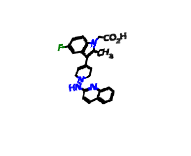 Cc1c(C2=CCN(Nc3ccc4ccccc4n3)CC2)c2cc(F)ccc2n1CC(=O)O